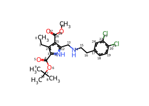 CCc1c(C(=O)OC(C)(C)C)[nH]c(CNCCc2ccc(Cl)c(Cl)c2)c1C(=O)OC